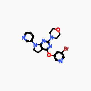 Brc1cncc(Oc2nc(N3CCOCC3)nc3c2CCN3c2cccnc2)c1